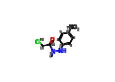 CN(Nc1ccc([N+](=O)[O-])cc1)C(=O)CCl